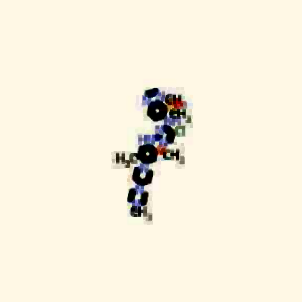 COc1cc(N2CCC(N3CCN(C)CC3)CC2)c(C)cc1Nc1ncc(Cl)c(Nc2ccc3nccnc3c2P(C)(C)=O)n1